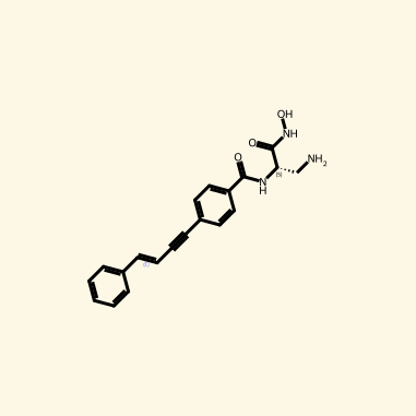 NC[C@H](NC(=O)c1ccc(C#C/C=C/c2ccccc2)cc1)C(=O)NO